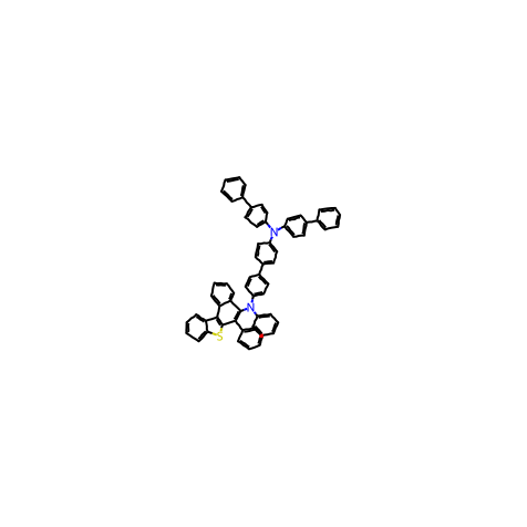 c1ccc(-c2ccc(N(c3ccc(-c4ccccc4)cc3)c3ccc(-c4ccc(N(c5ccccc5)c5c(-c6ccccc6)c6sc7ccccc7c6c6ccccc56)cc4)cc3)cc2)cc1